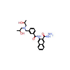 CC(O)CN(Cc1cccc(C(=O)Nc2cc3ccccc3cc2C(=O)NN)c1)CC(C)O